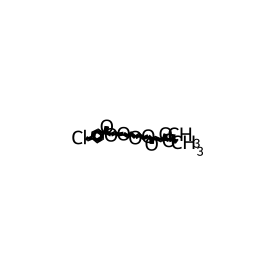 CC(C)OC(=O)CCC(=O)OCCOCCOCCOC(=O)c1ccc(CCl)cc1